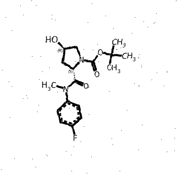 CN(C(=O)[C@@H]1C[C@@H](O)CN1C(=O)OC(C)(C)C)c1ccc(F)cc1